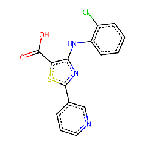 O=C(O)c1sc(-c2cccnc2)nc1Nc1ccccc1Cl